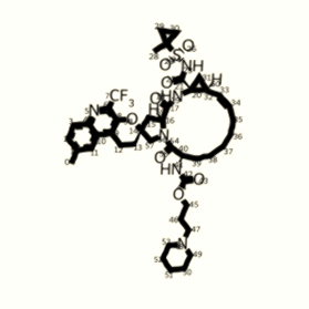 Cc1ccc2nc(C(F)(F)F)c3c(c2c1)CC[C@]1(C[C@H]2C(=O)N[C@]4(C(=O)NS(=O)(=O)C5(C)CC5)C[C@H]4/C=C\CCCCC[C@H](NC(=O)OCCCN4CCCCC4)C(=O)N2C1)O3